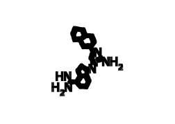 N=C(N)c1cccc2c1CCC2=Nn1cc(-c2ccc3ccccc3c2)nc1N